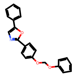 c1ccc(OCOc2ccc(-c3ncc(-c4ccccc4)o3)cc2)cc1